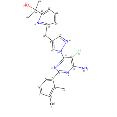 Cc1c(C#N)cccc1-c1nc(N)c(Cl)c(-n2cc(Cc3cccc(C(C)(C)O)n3)cn2)n1